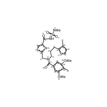 CNS(=O)(=O)NC(=O)c1csc(CN(CCCc2sccc2C)C(=O)c2cc(OC)c(C)c(OC)c2)n1